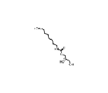 CCCCCCCCCCCCCCCCCNC(=O)OC[C@H](O)CO